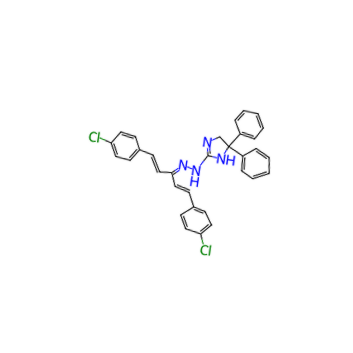 Clc1ccc(C=CC(C=Cc2ccc(Cl)cc2)=NNC2=NCC(c3ccccc3)(c3ccccc3)N2)cc1